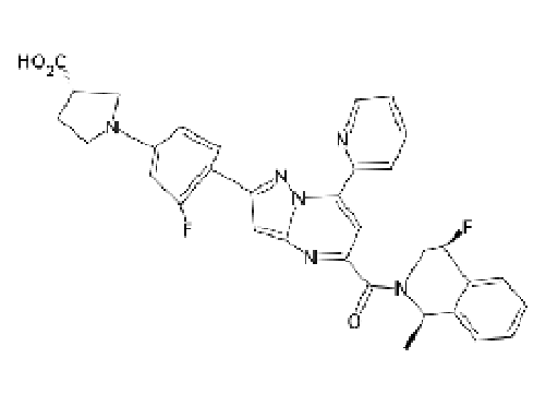 C[C@@H]1c2ccccc2[C@H](F)CN1C(=O)c1cc(-c2ccccn2)n2nc(-c3ccc(N4CC[C@H](C(=O)O)C4)cc3F)cc2n1